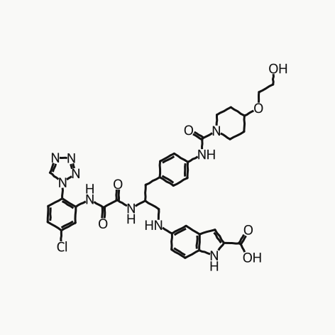 O=C(Nc1cc(Cl)ccc1-n1cnnn1)C(=O)NC(CNc1ccc2[nH]c(C(=O)O)cc2c1)Cc1ccc(NC(=O)N2CCC(OCCO)CC2)cc1